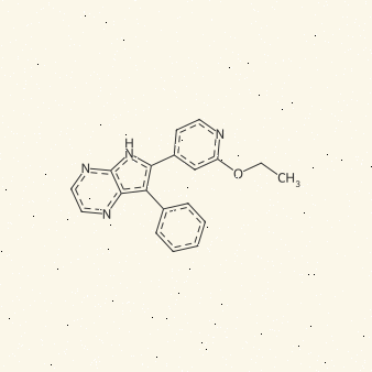 CCOc1cc(-c2[nH]c3nccnc3c2-c2ccccc2)ccn1